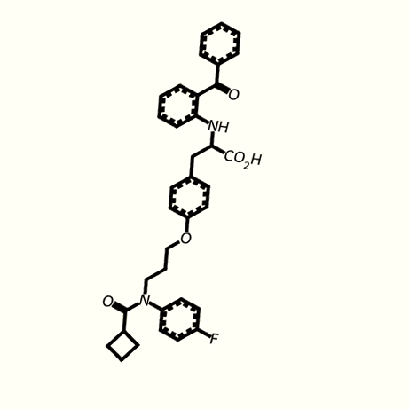 O=C(c1ccccc1)c1ccccc1NC(Cc1ccc(OCCCN(C(=O)C2CCC2)c2ccc(F)cc2)cc1)C(=O)O